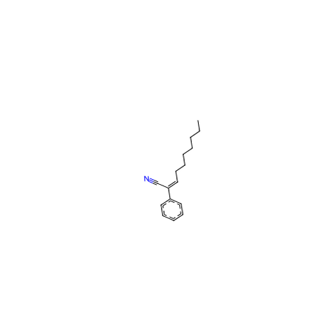 CCCCCCCC=C(C#N)c1ccccc1